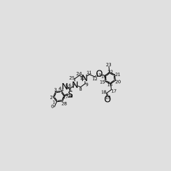 Cc1ccc2nc(N3CCN(CCOc4cc(CC=O)ccc4C)CC3)sc2c1